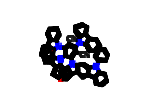 N#Cc1c(-n2c3ccccc3c3ccccc32)c(C#N)c(-n2c3ccccc3c3cc4c5ccccc5n(-c5ccccc5)c4cc32)c(-n2c3ccccc3c3ccccc32)c1-n1c2ccccc2c2ccccc21